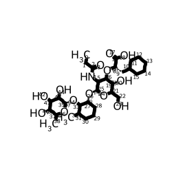 CCC(=O)NC1C(O[C@@H](CC2CCCCC2)C(=O)O)[C@@H](O)C(CO)O[C@H]1O[C@@H]1CCCC(C)C1O[C@@H]1OC(C)[C@@H](O)C(O)C1O